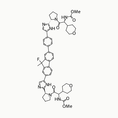 COC(=O)NC(C(=O)N1CCC[C@H]1c1ncc(-c2ccc3c(c2)C(C)(F)c2cc(-c4ccc(-c5cnc([C@@H]6CCCN6C(=O)[C@@H](NC(=O)OC)C6CCOCC6)[nH]5)cc4)ccc2-3)[nH]1)C1CCOCC1